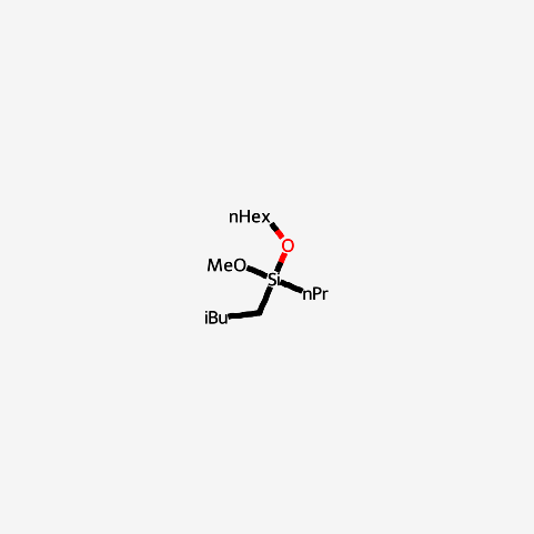 CCCCCCO[Si](CCC)(CC(C)CC)OC